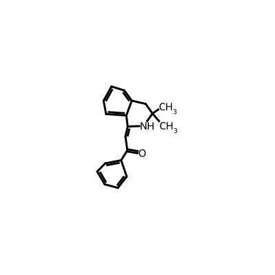 CC1(C)Cc2ccccc2C(=CC(=O)c2ccccc2)N1